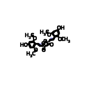 COc1cc(O)cc(OC)c1/C=C/S(=O)(=O)CS(=O)(=O)/C=C/c1c(OC)cc(O)cc1OC